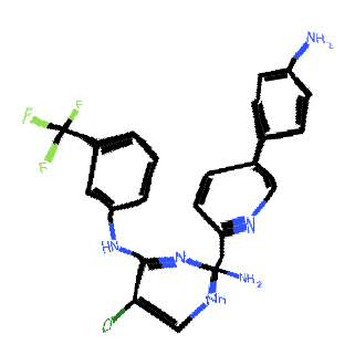 Nc1ccc(-c2ccc(C3(N)N=C(Nc4cccc(C(F)(F)F)c4)C(Cl)=CN3)nc2)cc1